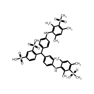 Cc1cc(C)c(S(C)(=O)=O)c(C)c1Nc1ccc(C(c2ccc(Nc3c(C)cc(C)c(S(C)(=O)=O)c3C)cc2)c2ccc(S(=O)(=O)O)cc2S(=O)(=O)O)cc1